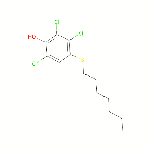 CCCCCCCSc1cc(Cl)c(O)c(Cl)c1Cl